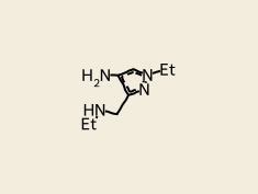 CCNCc1nn(CC)cc1N